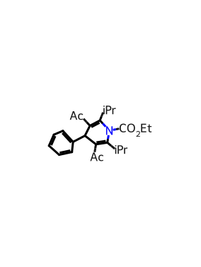 CCOC(=O)N1C(C(C)C)=C(C(C)=O)C(c2ccccc2)C(C(C)=O)=C1C(C)C